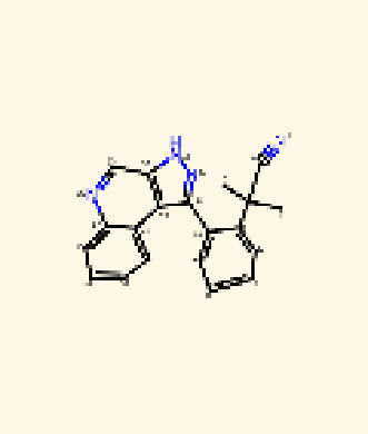 CC(C)(C#N)c1ccccc1-c1n[nH]c2cnc3cc[c]cc3c12